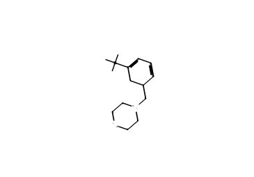 FC(F)(F)C1=CC=CC(CN2CCNCC2)C1